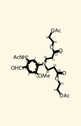 COc1cc(C=O)c(NC(C)=O)cc1N(CCC(=O)OCCOC(C)=O)CCC(=O)OCCOC(C)=O